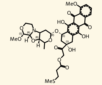 COc1cccc2c1C(=O)c1c(O)c3c(c(O)c1C2=O)C[C@@](O)(C(=O)COC(=O)CCSC)C[C@@H]3O[C@H]1CC2[C@@H](O[C@@H]3[C@@H](OC)OCCN23)C(C)O1